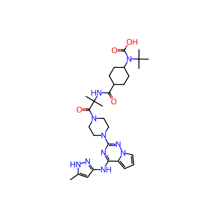 Cc1cc(Nc2nc(N3CCN(C(=O)C(C)(C)NC(=O)C4CCC(N(C(=O)O)C(C)(C)C)CC4)CC3)nn3cccc23)n[nH]1